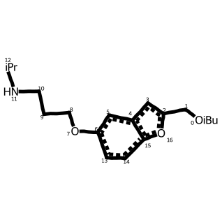 CC(C)COCc1cc2cc(OCCCNC(C)C)ccc2o1